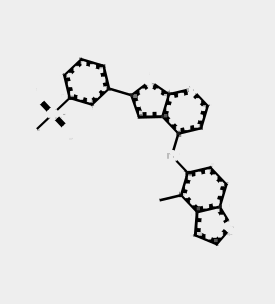 Cc1c(Nc2ccnc3sc(-c4cccc(S(C)(=O)=O)c4)cc23)ccc2[nH]ccc12